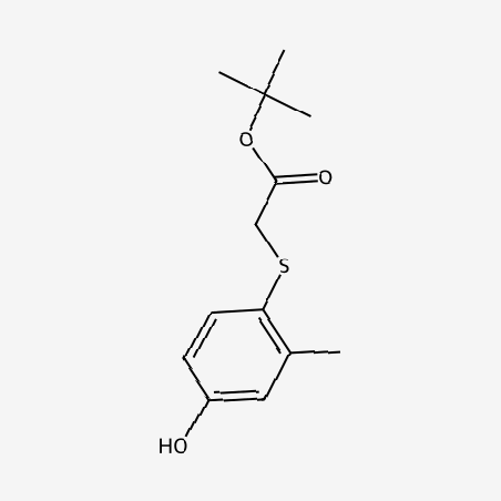 Cc1cc(O)ccc1SCC(=O)OC(C)(C)C